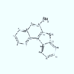 Bc1cc2ccccc2c2c1sc1ccccc12